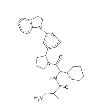 CC(CN)C(=O)NC(C(=O)N1CCCC1c1ccnc(N2CCc3ccccc32)c1)C1CCCCC1